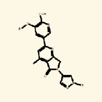 CCn1cc(N2Cc3nc(-c4cnc(OC)c(OC(C)C)c4)cc(C)c3C2=O)cn1